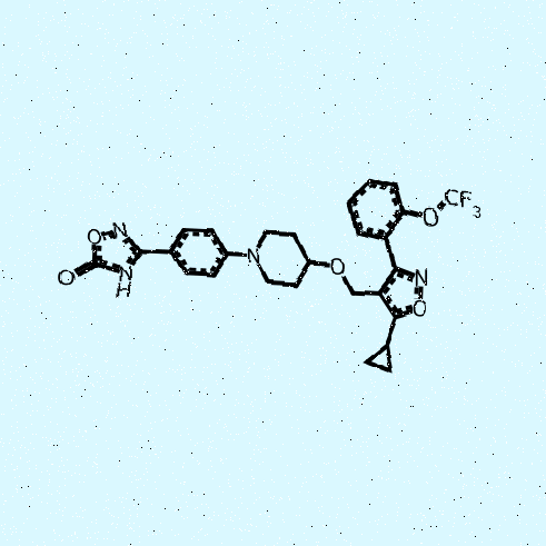 O=c1[nH]c(-c2ccc(N3CCC(OCc4c(-c5ccccc5OC(F)(F)F)noc4C4CC4)CC3)cc2)no1